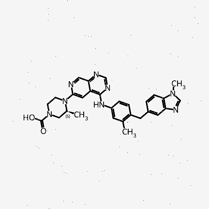 Cc1cc(Nc2ncnc3cnc(N4CCN(C(=O)O)C[C@@H]4C)cc23)ccc1Cc1ccc2c(c1)ncn2C